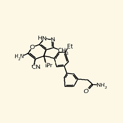 CCc1cc(-c2cccc(CC(N)=O)c2)cc(C2(C(C)C)C(C#N)=C(N)Oc3[nH]nc(C)c32)c1